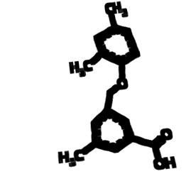 Cc1cc(COc2ccc(C)cc2C)cc(C(=O)O)c1